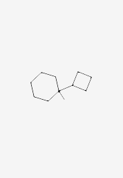 OC1(C2CCC2)CCCCC1